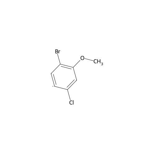 COc1cc(Cl)[c]cc1Br